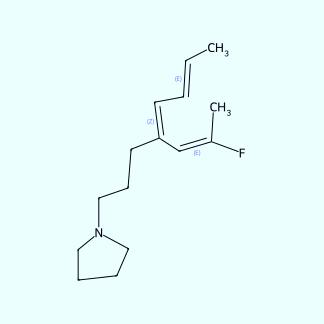 C/C=C/C=C(\C=C(/C)F)CCCN1CCCC1